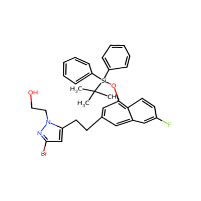 CC(C)(C)[Si](Oc1cc(CCc2cc(Br)nn2CCO)cc2cc(F)ccc12)(c1ccccc1)c1ccccc1